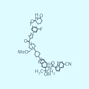 COC[C@H]1CN(C(=O)C2CN(c3cc(F)c([C@H]4CCC(=O)NC4=O)c(F)c3)C2)CCN1C1CCC(n2cc3cc(NC(=O)c4ccc5cc(C#N)cnn45)c(C(C)(C)O)cc3n2)CC1